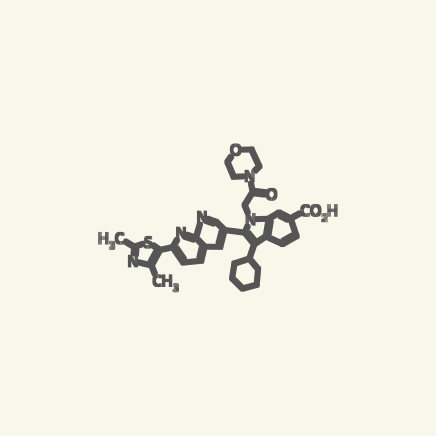 Cc1nc(C)c(-c2ccc3cc(-c4c(C5CCCCC5)c5ccc(C(=O)O)cc5n4CC(=O)N4CCOCC4)cnc3n2)s1